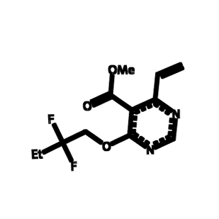 C=Cc1ncnc(OCC(F)(F)CC)c1C(=O)OC